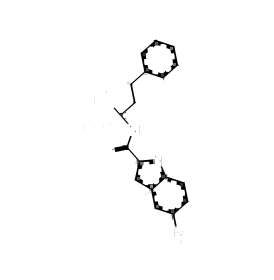 O=C(N[C@@](O)(CCc1ccccc1)C(=O)O)c1cc2cc(Br)ccc2[nH]1